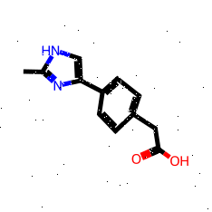 Cc1nc(-c2ccc(CC(=O)O)cc2)c[nH]1